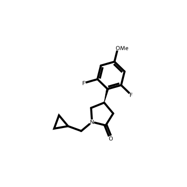 COc1cc(F)c([C@H]2CC(=O)N(CC3CC3)C2)c(F)c1